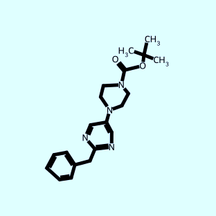 CC(C)(C)OC(=O)N1CCN(c2cnc(Cc3ccccc3)nc2)CC1